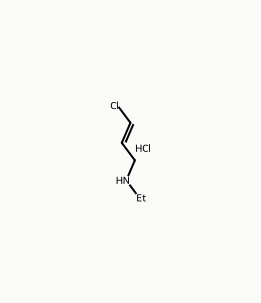 CCNCC=CCl.Cl